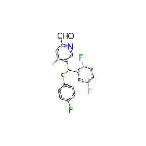 Cc1cc(C=O)ncc1C(Sc1ccc(F)cc1)c1cc(F)ccc1F